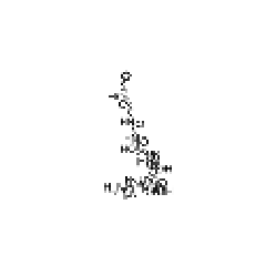 CC(C)(COP(=O)(O)OP(=O)(O)OCC1OC(C)(n2cnc3c(N)ncnc32)C(O)C1OP(=O)(O)O)C(O)C(=O)NCCC(=O)NCCSC(=O)CC(O)CSc1ccccc1